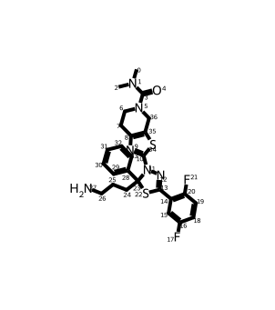 CN(C)C(=O)N1CCc2nc(N3N=C(c4cc(F)ccc4F)SC3(CCCN)c3ccccc3)sc2C1